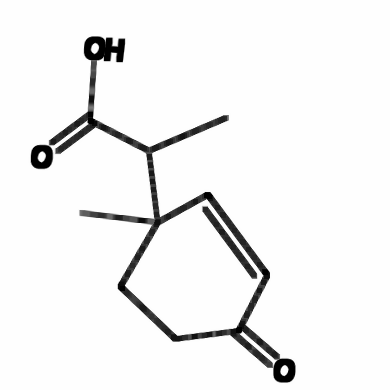 CC(C(=O)O)C1(C)C=CC(=O)CC1